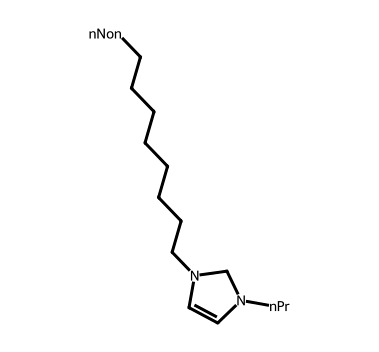 CCCCCCCCCCCCCCCCCN1C=CN(CCC)C1